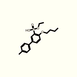 CCCCOc1ccc(-c2ccc(C)cc2)cc1P(=O)(O)OCC